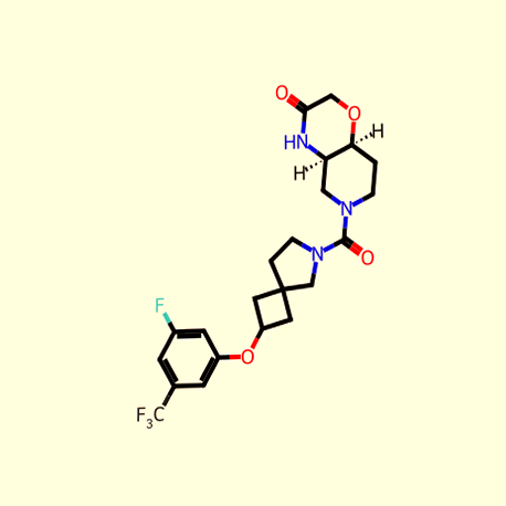 O=C1CO[C@H]2CCN(C(=O)N3CCC4(CC(Oc5cc(F)cc(C(F)(F)F)c5)C4)C3)C[C@H]2N1